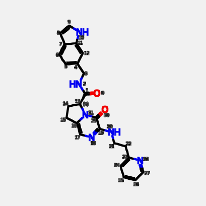 O=C(NCc1ccc2cc[nH]c2c1)[C@@H]1CCc2cnc(NCCc3ccccn3)c(=O)n21